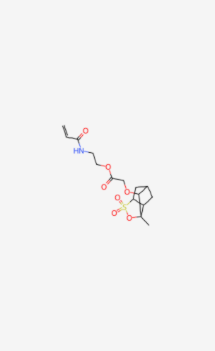 C=CC(=O)NCCOC(=O)COC1C2CC3C(C2)S(=O)(=O)OC31C